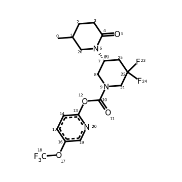 CC1CCC(=O)N([C@H]2CN(C(=O)Oc3ccc(OC(F)(F)F)cn3)CC(F)(F)C2)C1